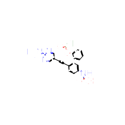 Nc1ncc(C#Cc2ccc(NC(=O)O)cc2)cn1.O=C(Cl)Oc1ccccc1